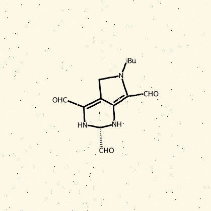 CCC(C)N1CC2=C(C=O)N[C@@H](C=O)NC2=C1C=O